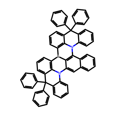 c1ccc(C2(c3ccccc3)c3ccccc3N3c4cc5ccccc5c5c4B(c4cccc2c43)c2cccc3c2N5c2ccccc2C3(c2ccccc2)c2ccccc2)cc1